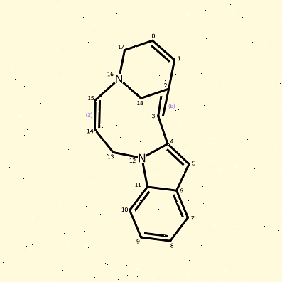 C1=C/C2=C\c3cc4ccccc4n3C/C=C\N(C1)C2